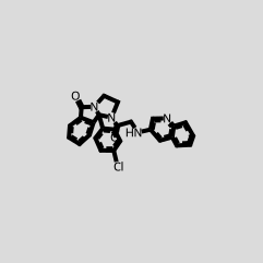 O=C(CNc1cnc2ccccc2c1)N1CCN2C(=O)c3ccccc3C12c1ccc(Cl)cc1